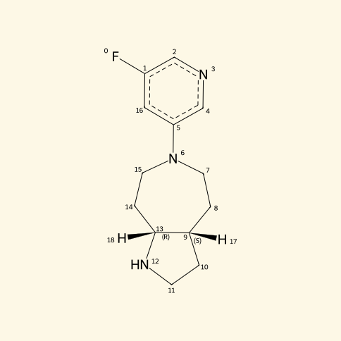 Fc1cncc(N2CC[C@@H]3CCN[C@@H]3CC2)c1